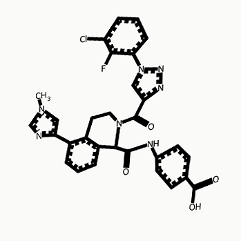 Cn1cnc(-c2cccc3c2CCN(C(=O)c2cn(-c4cccc(Cl)c4F)nn2)C3C(=O)Nc2ccc(C(=O)O)cc2)c1